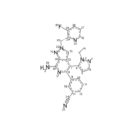 CCn1nccc1-c1c(-c2cccc(C#N)c2)nc(N)c2nn(Cc3ncccc3F)cc12